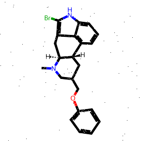 CN1CC(COc2ccccc2)C[C@H]2c3cccc4[nH]c(Br)c(c34)C[C@@H]21